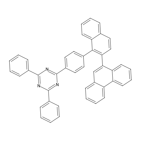 c1ccc(-c2nc(-c3ccccc3)nc(-c3ccc(-c4c(-c5cc6ccccc6c6ccccc56)ccc5ccccc45)cc3)n2)cc1